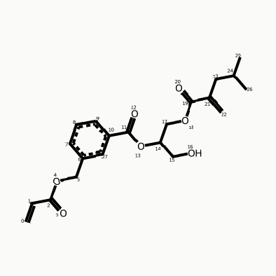 C=CC(=O)OCc1cccc(C(=O)OC(CO)COC(=O)C(=C)CC(C)C)c1